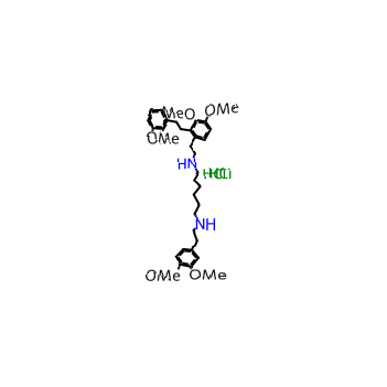 COc1cccc(CCc2c(CCNCCCCCCNCCc3ccc(OC)c(OC)c3)ccc(OC)c2OC)c1.Cl.Cl